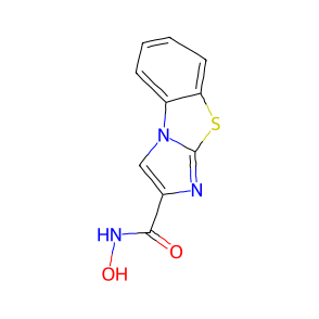 O=C(NO)c1cn2c(n1)sc1ccccc12